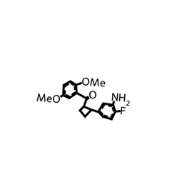 COc1ccc(OC)c(C(=O)C2CCC2c2ccc(F)c(N)c2)c1